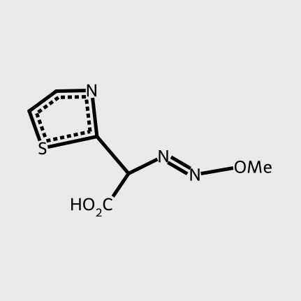 CON=NC(C(=O)O)c1nccs1